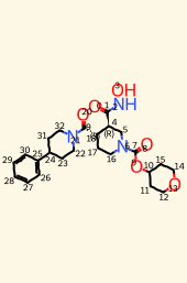 O=C(NO)[C@H]1CN(C(=O)OC2CCOCC2)CC[C@@H]1C(=O)N1CCC(c2ccccc2)CC1